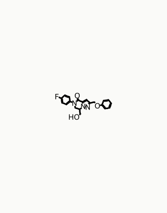 O=C1c2cc(COc3ccccc3)nn2C(CO)CN1c1ccc(F)cc1